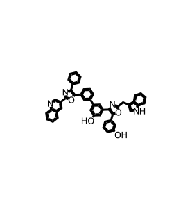 Oc1cc(-c2cccc(-c3oc(-c4cnc5ccccc5c4)nc3-c3ccccc3)c2)cc(-c2nc(Cc3c[nH]c4ccccc34)oc2-c2cccc(O)c2)c1